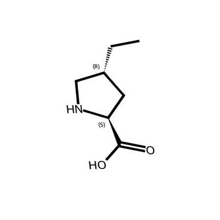 CC[C@H]1CN[C@H](C(=O)O)C1